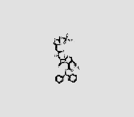 C=CC1=C(C(=O)OC(c2ccccc2)c2ccccc2)N2C(=O)C(NC(=O)Cc3csc(NS(C)(=O)=O)n3)[C@H]2SC1